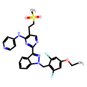 CCOc1cc(F)c(Cn2nc(-c3ncc(CCS(C)(=O)=O)c(Nc4ccncc4)n3)c3ccccc32)c(F)c1